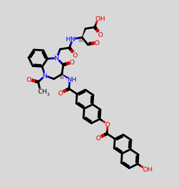 CC(=O)N1C[C@H](NC(=O)c2ccc3cc(OC(=O)c4ccc5cc(O)ccc5c4)ccc3c2)C(=O)N(CC(=O)N[C@H](C=O)CC(=O)O)c2ccccc21